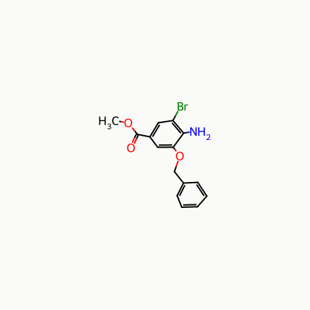 COC(=O)c1cc(Br)c(N)c(OCc2ccccc2)c1